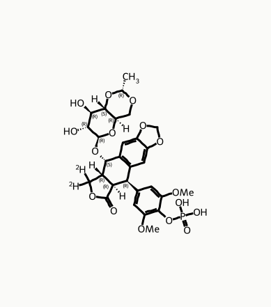 [2H]C1([2H])OC(=O)[C@@H]2[C@H](c3cc(OC)c(OP(=O)(O)O)c(OC)c3)c3cc4c(cc3[C@@H](O[C@@H]3O[C@@H]5CO[C@@H](C)O[C@H]5[C@H](O)[C@H]3O)[C@H]21)OCO4